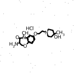 CN1C(=O)[C@@H](N)COc2ccc(OCCN3CCC(C)(O)CC3)cc21.Cl